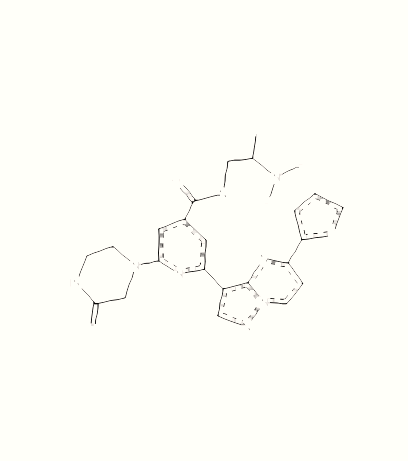 CCN(CC)C(C)CNC(=O)c1cc(-c2cnn3ccc(-c4cccs4)nc23)nc(N2CCNC(=O)C2)c1